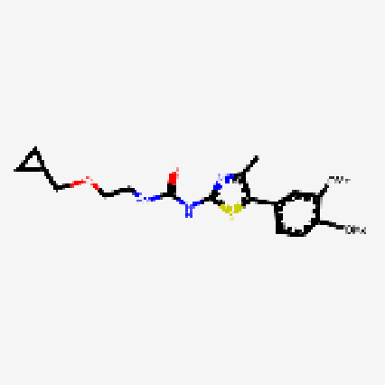 COc1ccc(-c2sc(NC(=O)NCCOCC3CC3)nc2C)cc1OC